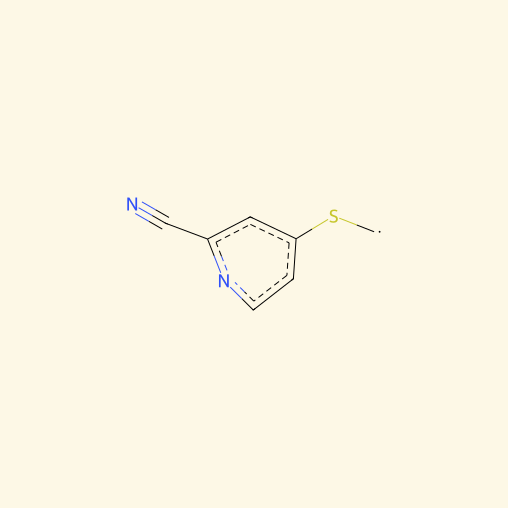 [CH2]Sc1ccnc(C#N)c1